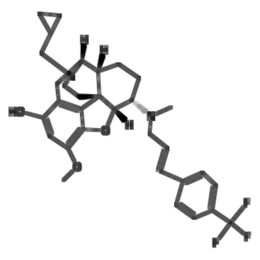 COc1cc(O)c2c3c1O[C@H]1[C@@H](N(C)CC=Cc4ccc(C(F)(F)F)cc4)CC[C@H]4[C@@H](C2)N(CC2CC2)CC[C@@]341